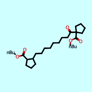 CCCCOC(=O)C1CCCC1CCCCCCCCC(=O)C1(C(=O)OCCCC)CCCC1